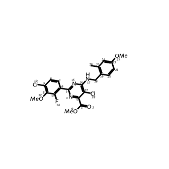 COC(=O)c1nc(-c2ccc(Cl)c(OC)c2F)nc(NCc2ccc(OC)cc2C)c1Cl